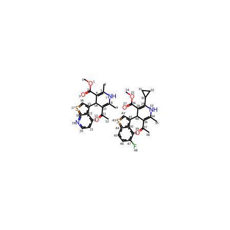 COC(=O)C1=C(C)NC(C)=C(C(C)=O)C1c1csc2ncccc12.COC(=O)C1=C(C2CC2)NC(C)=C(C(C)=O)C1c1csc2ccc(F)cc12